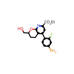 CCOC(=O)c1cc(-c2ccc(P)cc2F)c2c(n1)OC(CO)CC2